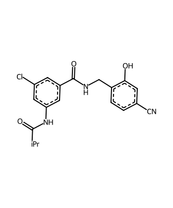 CC(C)C(=O)Nc1cc(Cl)cc(C(=O)NCc2ccc(C#N)cc2O)c1